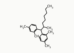 CCCCCCC(C)[C](c1ccc(C)cc1C)c1ccc(C)cc1C